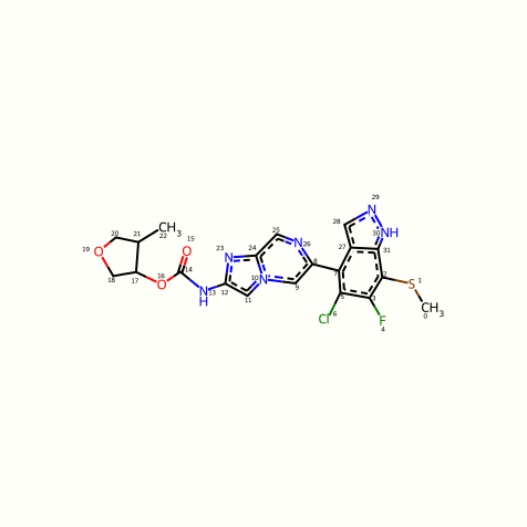 CSc1c(F)c(Cl)c(-c2cn3cc(NC(=O)OC4COCC4C)nc3cn2)c2cn[nH]c12